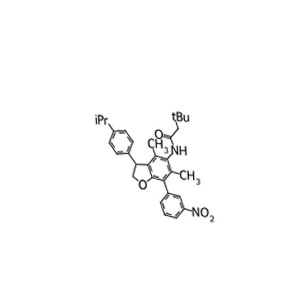 Cc1c(NC(=O)CC(C)(C)C)c(C)c2c(c1-c1cccc([N+](=O)[O-])c1)OCC2c1ccc(C(C)C)cc1